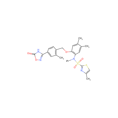 Cc1csc(S(=O)(=O)N(c2cc(C)c(C)cc2OCc2ccc(-c3noc(=O)[nH]3)cc2C)C(C)C)n1